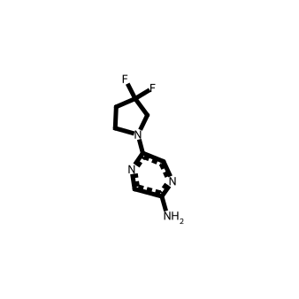 Nc1cnc(N2CCC(F)(F)C2)cn1